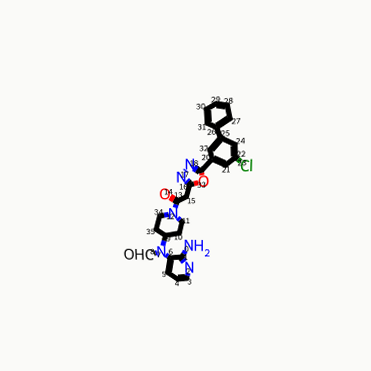 Nc1ncccc1N(C=O)C1CCN(C(=O)Cc2nnc(-c3cc(Cl)cc(-c4ccccc4)c3)o2)CC1